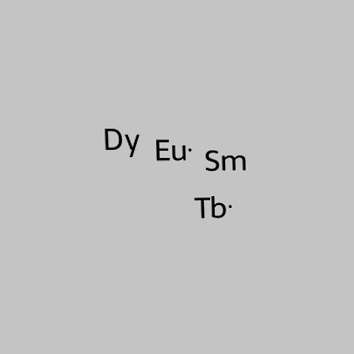 [Dy].[Eu].[Sm].[Tb]